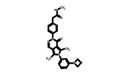 CNC(=O)Cc1ccc(-n2ncc3c(C)n(-c4cccc(N5CCC5)c4)c(C)c3c2=O)cc1